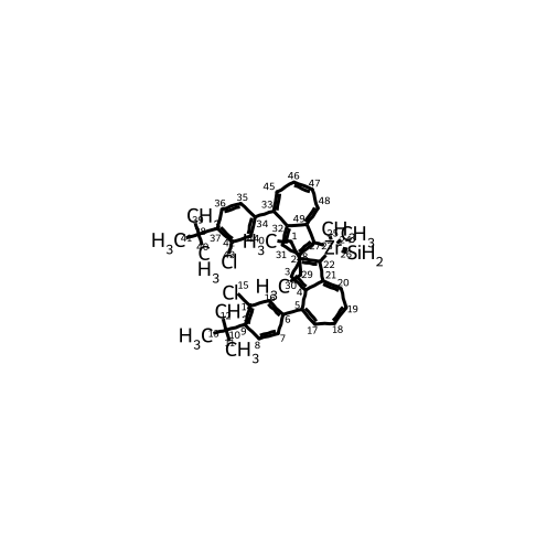 CCc1cc2c(-c3ccc(C(C)(C)C)c(Cl)c3)ccccc-2[c]1[Zr]([CH3])([CH3])(=[SiH2])[c]1c(CC)cc2c(-c3ccc(C(C)(C)C)c(Cl)c3)ccccc1-2